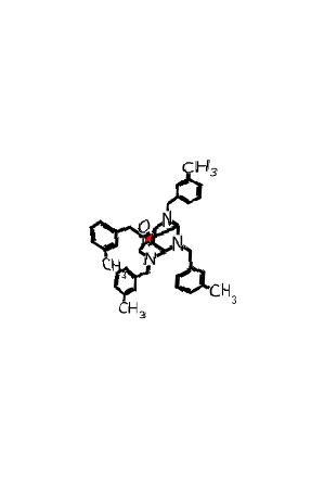 Cc1cccc(CN2C3CC4N(Cc5cccc(C)c5)C2C(=O)C(N3Cc2cccc(C)c2)N4Cc2cccc(C)c2)c1